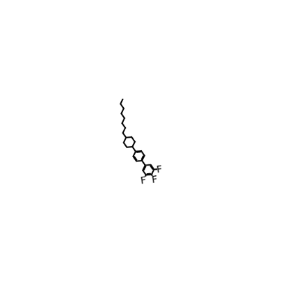 CCCCCCCCC1CCC(c2ccc(-c3cc(F)c(F)c(F)c3)cc2)CC1